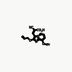 C=CCOc1nc2c(OC(C)C)cccn2c1C=C(C#N)C(=O)O